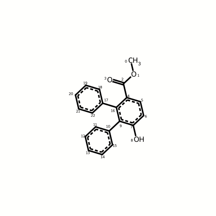 COC(=O)c1ccc(O)c(-c2ccccc2)c1-c1ccccc1